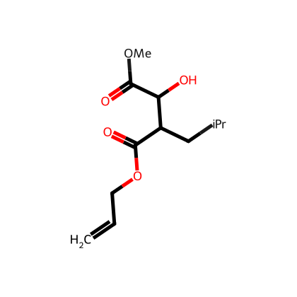 C=CCOC(=O)C(CC(C)C)C(O)C(=O)OC